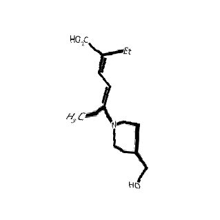 CC/C(=C\C=C(/C)N1CC(CO)C1)C(=O)O